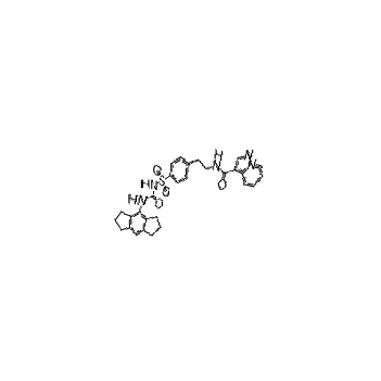 O=C(Nc1c2c(cc3c1CCC3)CCC2)NS(=O)(=O)c1ccc(CCNC(=O)c2cnn3ccccc23)cc1